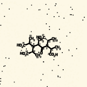 CC(C(=O)O)N(C(=O)C(C)N(C(C)C(=O)O)[C@@H](C)C(=O)O)[C@@H](C)C(=O)O